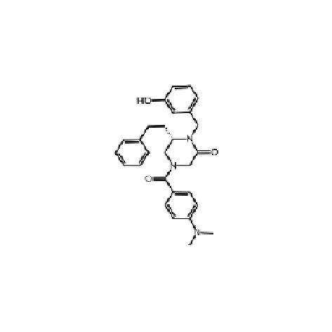 CN(C)c1ccc(C(=O)N2CC(=O)N(Cc3cccc(O)c3)[C@@H](CCc3ccccc3)C2)cc1